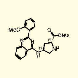 COC(=O)[C@H]1C[C@H](Nc2nc(-c3ccccc3OC)nc3ccccc23)CN1